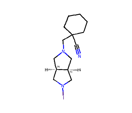 N#CC1(CN2C[C@H]3CN(I)C[C@H]3C2)CCCCC1